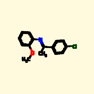 COc1ccccc1N=C(C)c1ccc(Cl)cc1